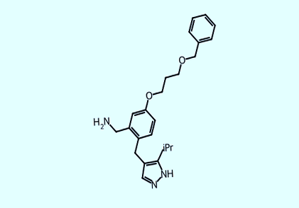 CC(C)c1[nH]ncc1Cc1ccc(OCCCOCc2ccccc2)cc1CN